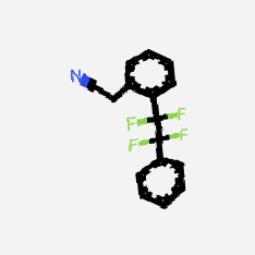 N#CCc1ccccc1C(F)(F)C(F)(F)c1ccccc1